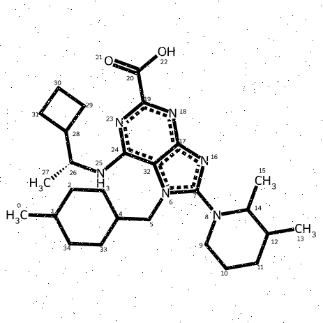 CC1CCC(Cn2c(N3CCCC(C)C3C)nc3nc(C(=O)O)nc(N[C@H](C)C4CCC4)c32)CC1